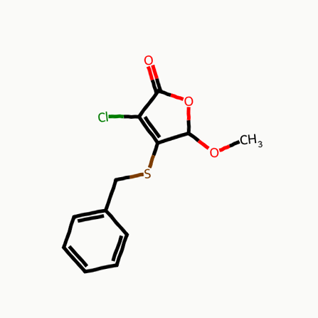 COC1OC(=O)C(Cl)=C1SCc1ccccc1